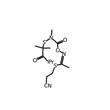 CC(=NOC(=O)N(C)SC(C)(C)C(=O)C(C)C)SCCC#N